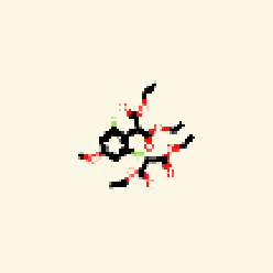 CCOC(=O)C(C(=O)OCC)c1c(F)cc(OC)cc1F.CCOC(=O)CC(=O)OCC